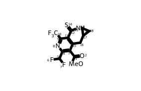 COC(=O)c1c(C(F)F)nc(C(F)(F)F)c(C(N)=S)c1CC1CC1